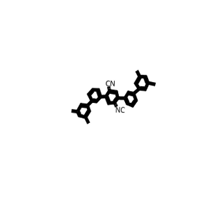 [C-]#[N+]c1cc(-c2cccc(-c3cc(C)cc(C)c3)c2)c(C#N)cc1-c1cccc(-c2cc(C)cc(C)c2)c1